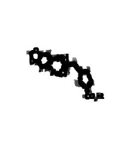 CCOC(=O)N1CCC(CC(=O)Nc2cc3c(cc2C(C)=O)OCO3)C1